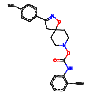 CSc1ccccc1NC(=O)ON1CCC2(CC1)CC(c1ccc(C(C)(C)C)cc1)=NO2